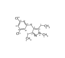 CCc1nn(C)c(CC)c1Cc1cc(Cl)cc(Cl)c1